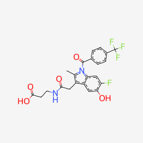 Cc1c(CC(=O)NCCC(=O)O)c2cc(O)c(F)cc2n1C(=O)c1ccc(C(F)(F)F)cc1